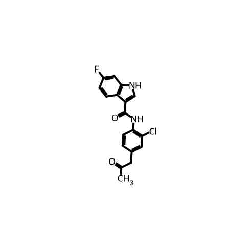 CC(=O)Cc1ccc(NC(=O)c2c[nH]c3cc(F)ccc23)c(Cl)c1